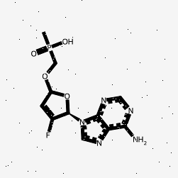 CP(=O)(O)COC1C=C(F)[C@H](n2cnc3c(N)ncnc32)O1